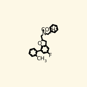 Cc1ccccc1-c1cc(F)cc2c1OC(CN(Cc1ccccc1)C(=O)O)C2